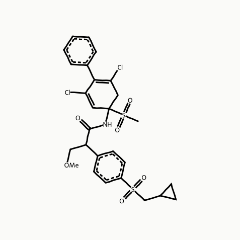 COCC(C(=O)NC1(S(C)(=O)=O)C=C(Cl)C(c2ccccc2)=C(Cl)C1)c1ccc(S(=O)(=O)CC2CC2)cc1